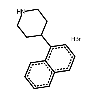 Br.c1ccc2c(C3CCNCC3)cccc2c1